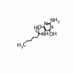 CCCCCC(=O)Nc1c(O)nc(N)nc1O